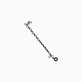 CC(C)(C)OC(=O)OCCOCCOCCOCCOCCCCCCCCCCCSCC(=O)OCc1ccccc1